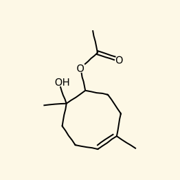 CC(=O)OC1CCC(C)=CCCC1(C)O